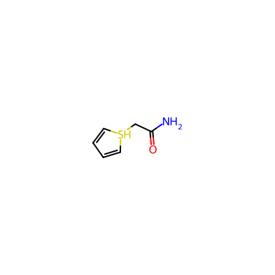 NC(=O)C[SH]1C=CC=C1